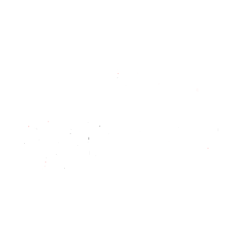 CC1OC(OC2C(OC3C(OC4CCC5(C)C(CCC6(C)C5CC=C5C7CC(C)(C(=O)O)CC(=O)C7(C)CCC56C)C4(C)CO)OC(C(=O)O)C(O)C3O)OCC(O)C2O)C(O)C(O)C1O